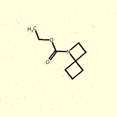 CCOC(=O)N1CCC12CCC2